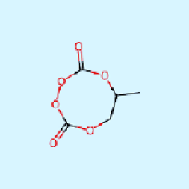 CC1COC(=O)OOC(=O)O1